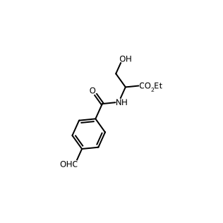 CCOC(=O)C(CO)NC(=O)c1ccc(C=O)cc1